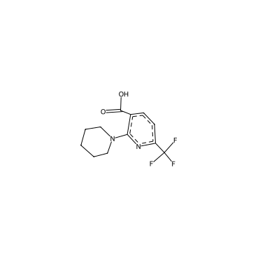 O=C(O)c1ccc(C(F)(F)F)nc1N1CCCCC1